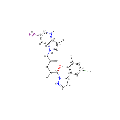 C=C(CC(C)C(=O)N1N=CCC1c1cc(C)cc(F)c1)Cn1cc(C)c2ncc(P)cc21